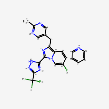 Cc1ncc(Cc2nc(-c3nc(C(F)(F)F)n[nH]3)n3cc(F)ccc23)cn1.c1ccncc1